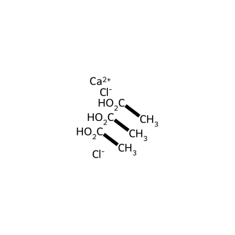 CC(=O)O.CC(=O)O.CC(=O)O.[Ca+2].[Cl-].[Cl-]